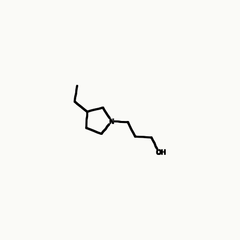 CCC1CCN(CCCO)C1